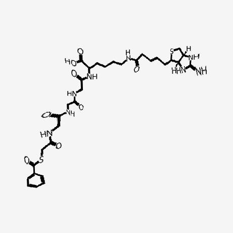 N=C1N[C@H]2CSC(CCCCC(=O)NCCCCC(NC(=O)CNC(=O)CNC(=O)CNC(=O)CSC(=O)c3ccccc3)C(=O)O)[C@H]2N1